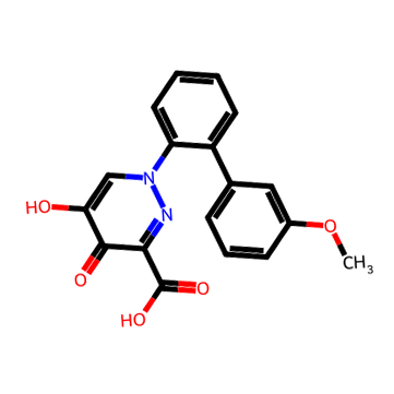 COc1cccc(-c2ccccc2-n2cc(O)c(=O)c(C(=O)O)n2)c1